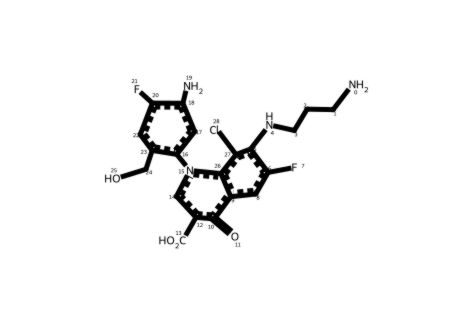 NCCCNc1c(F)cc2c(=O)c(C(=O)O)cn(-c3cc(N)c(F)cc3CO)c2c1Cl